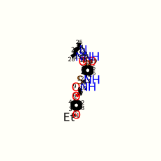 CCOc1ccc(OCC(=O)NC(=S)Nc2ccc(S(=O)(=O)Nc3nc(C)cc(C)n3)cc2)cc1